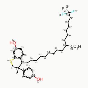 CC1(c2ccc(O)cc2)CSc2cc(O)ccc2C1CCCCCCCCCC(CCCCCCC(F)(F)C(F)(F)F)C(=O)O